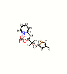 Cc1csc(OC(C)(C)C(O)Cc2cccc[n+]2[O-])c1